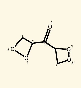 O=C(C1COO1)C1COO1